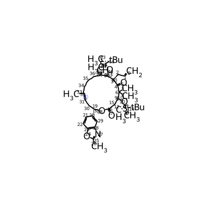 C=CC[C@H]1C(=O)C(C)(C)[C@@H](O[Si](C)(C)C(C)(C)C)CC(=O)O[C@H](c2ccc3oc(C)nc3c2)C/C=C(/C)CCC[C@H](C)[C@@H]1O[Si](C)(C)C(C)(C)C